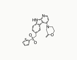 C=C1CN(c2ccnc3[nH]c4ccc(CS(=O)(=O)c5cccs5)cc4c23)CCO1